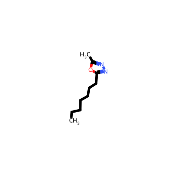 CCCCCCCc1nnc(C)o1